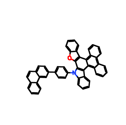 c1ccc2c(c1)ccc1ccc(-c3ccc(-n4c5ccccc5c5c6c7ccccc7c7ccccc7c6c6c7ccccc7oc6c54)cc3)cc12